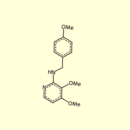 COc1ccc(CNc2nccc(OC)c2OC)cc1